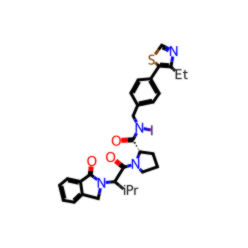 CCc1ncsc1-c1ccc(CN(I)C(=O)[C@@H]2CCCN2C(=O)C(C(C)C)N2Cc3ccccc3C2=O)cc1